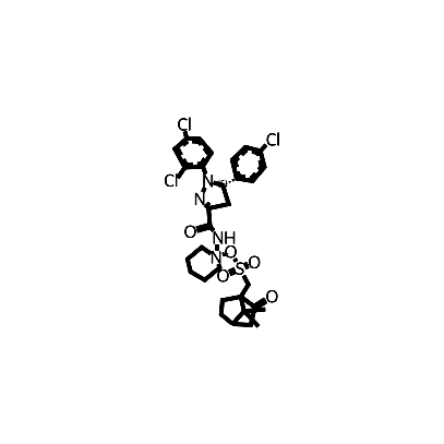 CC1(C)C2CCC1(CS(=O)(=O)O[N+]1(NC(=O)C3=NN(c4ccc(Cl)cc4Cl)[C@H](c4ccc(Cl)cc4)C3)CCCCC1)C(=O)C2